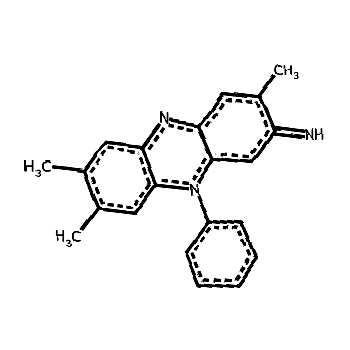 Cc1cc2nc3cc(C)c(=N)cc-3n(-c3ccccc3)c2cc1C